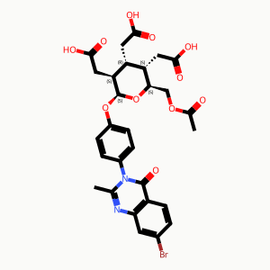 CC(=O)OC[C@H]1O[C@@H](Oc2ccc(-n3c(C)nc4cc(Br)ccc4c3=O)cc2)[C@@H](CC(=O)O)[C@H](CC(=O)O)[C@@H]1CC(=O)O